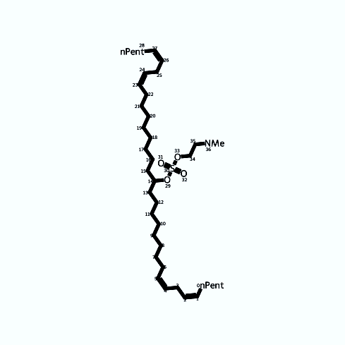 CCCCC/C=C\C/C=C\CCCCCCCCC(CCCCCCCC/C=C\C/C=C\CCCCC)OS(=O)(=O)OCCNC